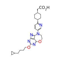 O=C(O)C[C@H]1CC[C@@H](c2ccc(N3CCOc4nc(OCCCCC5CC5)nc5c4C3=N5)cn2)CC1